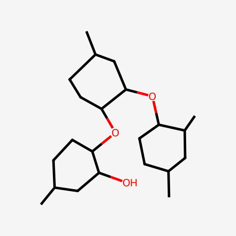 CC1CCC(OC2CC(C)CCC2OC2CCC(C)CC2O)C(C)C1